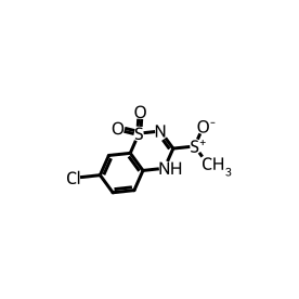 C[S+]([O-])C1=NS(=O)(=O)c2cc(Cl)ccc2N1